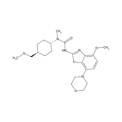 COC[C@H]1CC[C@H](N(C)C(=O)Nc2nc3c(OC)ccc(N4CCOCC4)c3s2)CC1